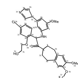 COc1cc(NC(C(=O)C2CCc3cc(OC)c(OC(F)(F)F)cc3CC2)c2ccc(Cl)cc2OCCO)cc(-n2cncn2)c1